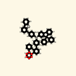 c1ccc(-c2ccccc2-c2c(-c3ccccc3)cccc2-c2ccc(N(c3ccc(-c4cccc5c4oc4ccccc45)cc3)c3ccc4c(c3)C(c3ccccc3)(c3ccccc3)c3ccccc3-4)cc2)cc1